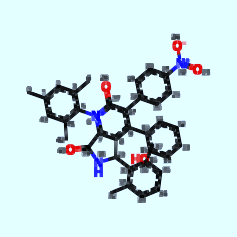 Cc1cc(C)c(-n2c3c(c(-c4ccccc4O)c(-c4ccc([N+](=O)[O-])cc4)c2=O)C(c2c(C)cccc2C)NC3=O)c(C)c1